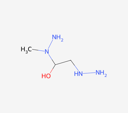 CN(N)C(O)CNN